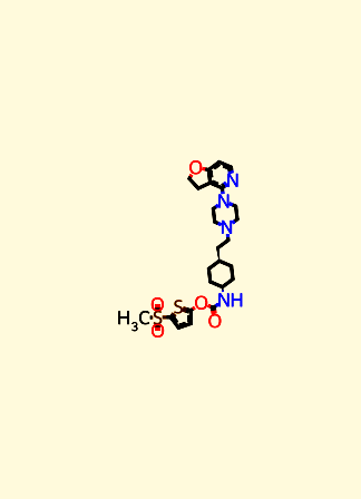 CS(=O)(=O)c1ccc(OC(=O)N[C@H]2CC[C@H](CCN3CCN(c4nccc5c4CCO5)CC3)CC2)s1